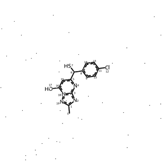 Cc1nc2nc(C(S)c3ccc(Cl)cc3)cc(O)n2n1